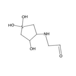 O=CCNC1CS(O)(O)CC1O